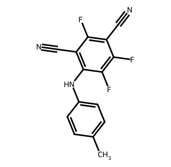 Cc1ccc(Nc2c(F)c(F)c(C#N)c(F)c2C#N)cc1